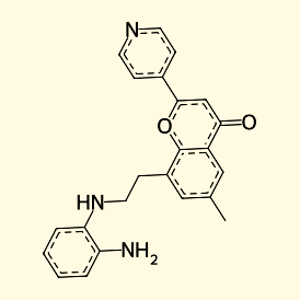 Cc1cc(CCNc2ccccc2N)c2oc(-c3ccncc3)cc(=O)c2c1